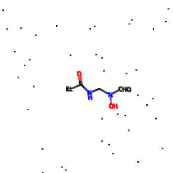 CCC(=O)NCN(O)C=O